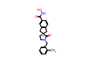 Cc1ccccc1CN1CC[C@@]2(Cc3ccc(C(=O)NO)cc3C2)C1=O